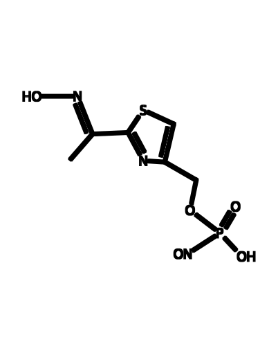 C/C(=N\O)c1nc(COP(=O)(O)N=O)cs1